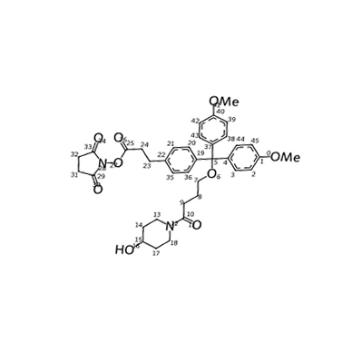 COc1ccc(C(OCCCC(=O)N2CCC(O)CC2)(c2ccc(CCC(=O)ON3C(=O)CCC3=O)cc2)c2ccc(OC)cc2)cc1